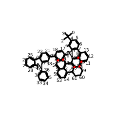 CC(C)(C)c1ccc(-c2ccccc2)c(N(c2ccc(-c3ccc4c5ccccc5n(-c5ccccc5)c4c3)cc2)c2ccccc2-c2cccc3cccc(C4CCCCC4)c23)c1